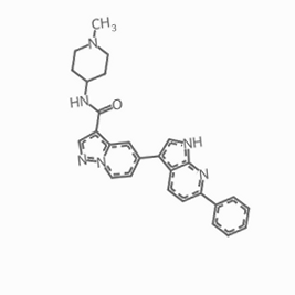 CN1CCC(NC(=O)c2cnn3ccc(-c4c[nH]c5nc(-c6ccccc6)ccc45)cc23)CC1